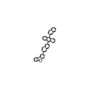 c1ccc2cc(-c3c4ccccc4c(-c4ccc5cc(-c6ccc7oc8ccccc8c7c6)ccc5c4)c4ccccc34)ccc2c1